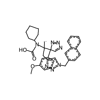 [CH2]C(Cc1cn(Cc2ccc3ccccc3c2)nn1)(N(C(=O)O)C1CCCCC1)C1(c2cccc(OC)c2)C=NN=N1